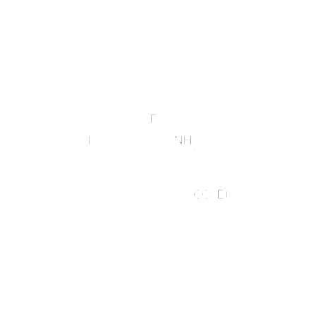 CCOC(=O)CCC(N)c1ccc(F)cc1F